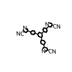 N#Cc1cncc(-c2ccc(-c3cc(-c4ccc(-c5cncc(C#N)c5)cc4)cc(-c4ccc(-c5cc(C#N)ccn5)cc4)c3)cc2)c1